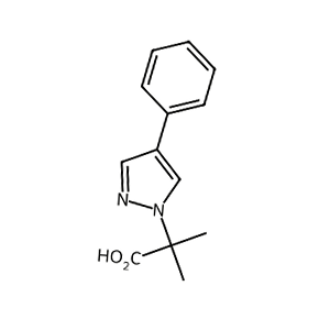 CC(C)(C(=O)O)n1cc(-c2ccccc2)cn1